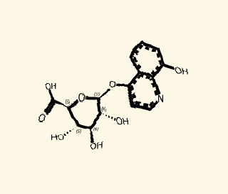 O=C(O)[C@H]1O[C@@H](Oc2ccnc3c(O)cccc23)[C@H](O)[C@@H](O)[C@@H]1O